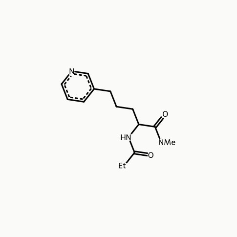 CCC(=O)NC(CCCc1cccnc1)C(=O)NC